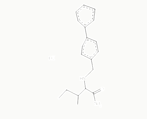 CCC(C)C(NCc1ccc(-c2ccccc2)cc1)C(N)=O.Cl